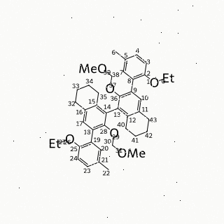 CCOc1ccc(C)cc1-c1cc2c(c(-c3c4c(cc(-c5cc(C)ccc5OCC)c3OCOC)CCCC4)c1OCOC)CCCC2